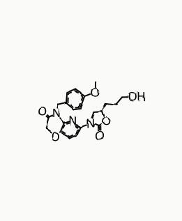 COc1ccc(CN2C(=O)COc3ccc(N4C[C@@H](CCCO)OC4=O)nc32)cc1